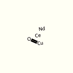 [Ce].[Nd].[O]=[Cu]